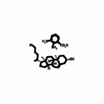 CC(C)CCCC(C)[C@H]1CC[C@H]2[C@@H]3CC=C4C[C@@H](O)CC[C@]4(C)[C@H]3CC[C@]12C.Nc1cccc(C(=O)O)c1N